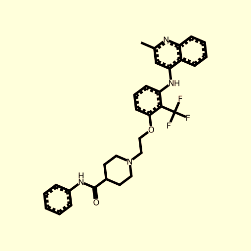 Cc1cc(Nc2cccc(OCCN3CCC(C(=O)Nc4ccccc4)CC3)c2C(F)(F)F)c2ccccc2n1